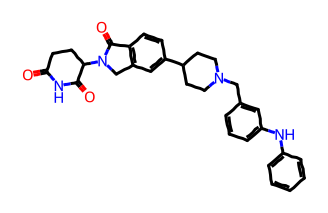 O=C1CCC(N2Cc3cc(C4CCN(Cc5cccc(Nc6ccccc6)c5)CC4)ccc3C2=O)C(=O)N1